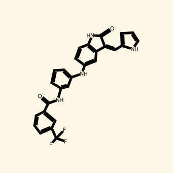 O=C1Nc2ccc(Nc3cccc(NC(=O)c4cccc(C(F)(F)F)c4)c3)cc2/C1=C/c1ccc[nH]1